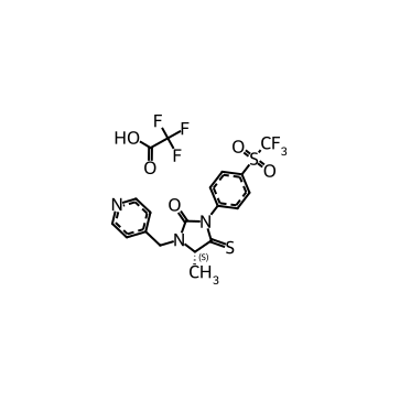 C[C@H]1C(=S)N(c2ccc(S(=O)(=O)C(F)(F)F)cc2)C(=O)N1Cc1ccncc1.O=C(O)C(F)(F)F